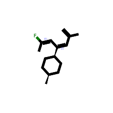 C=C(C)/C=C(\C=C(/C)F)[C@H]1CC[C@@H](C)CC1